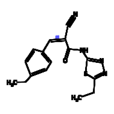 CCc1ccc(/C=C(/C#N)C(=O)Nc2nnc(CC)s2)cc1